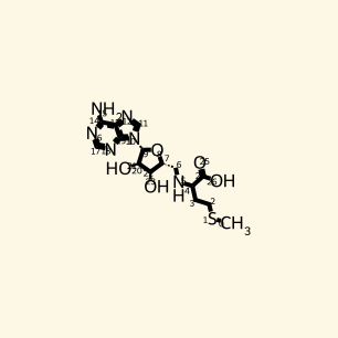 CSCCC(NC[C@H]1O[C@@H](n2cnc3c(N)ncnc32)[C@H](O)[C@@H]1O)C(=O)O